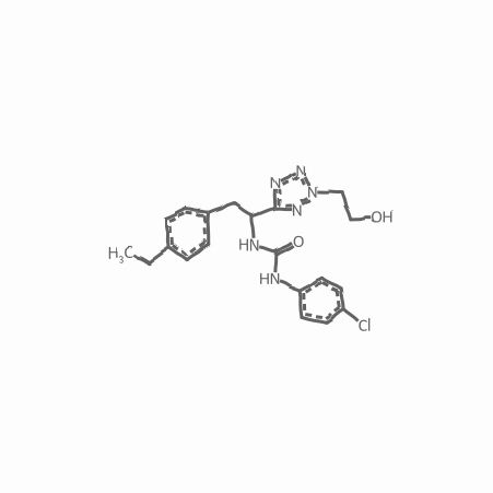 CCc1ccc(CC(NC(=O)Nc2ccc(Cl)cc2)c2nnn(CCO)n2)cc1